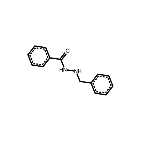 O=C(NNCc1ccccc1)c1ccccc1